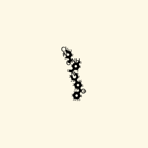 C=C(c1ccc(C)c(NC(=O)c2ccc(Cl)nc2)c1)N1CCC(c2ccc(C(=O)c3ccccc3)cc2)CC1